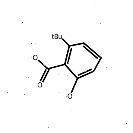 CC(C)(C)c1cccc([O])c1C([O])=O